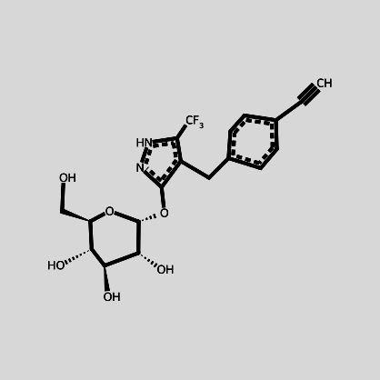 C#Cc1ccc(Cc2c(O[C@H]3O[C@H](CO)[C@@H](O)[C@H](O)[C@H]3O)n[nH]c2C(F)(F)F)cc1